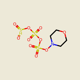 O=[SH](=O)OS(=O)(=O)OS(=O)(=O)ON1CCOCC1